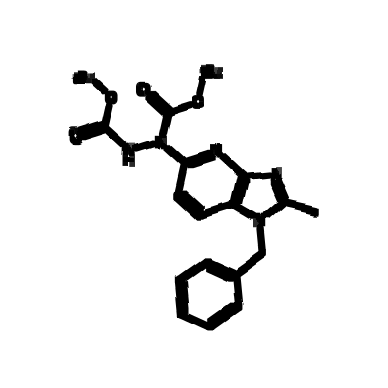 Cc1nc2nc(N(NC(=O)OC(C)(C)C)C(=O)OC(C)(C)C)ccc2n1Cc1ccccc1